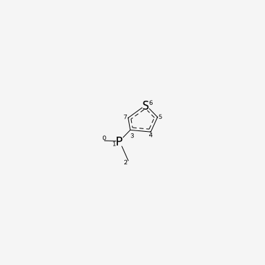 CP(C)c1ccsc1